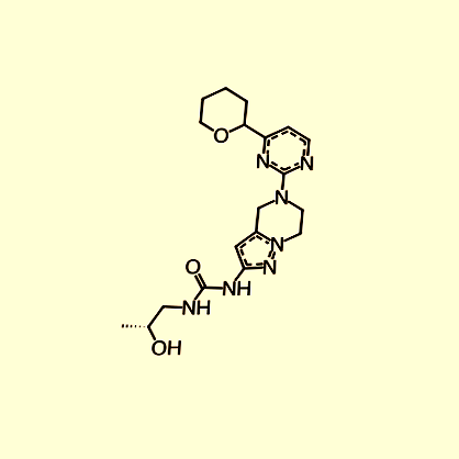 C[C@@H](O)CNC(=O)Nc1cc2n(n1)CCN(c1nccc(C3CCCCO3)n1)C2